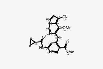 CNC(=O)c1cnc(NC(=O)C2CC2)cc1Nc1ncn2ncc(C#N)c2c1OC